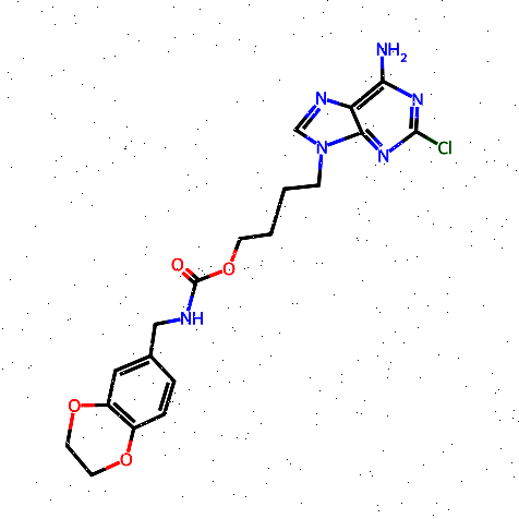 Nc1nc(Cl)nc2c1ncn2CCCCOC(=O)NCc1ccc2c(c1)OCCO2